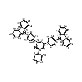 c1ccc(-c2cc(-c3ccc(-n4c5ccccc5c5ccccc54)cc3)cc(-c3ccc(-n4c5ccccc5c5ccccc54)cc3)n2)cc1